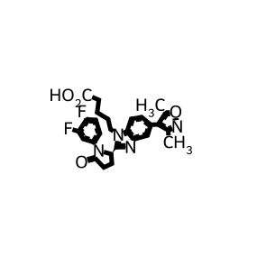 Cc1noc(C)c1-c1ccc2c(c1)nc([C@@H]1CCC(=O)N1c1ccc(F)c(F)c1)n2CCCCC(=O)O